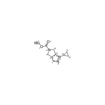 CC(C)(C)OC(=O)N1Cc2cnn(C3CC3)c2C1